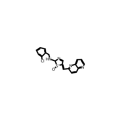 [O-][S+]1C(=Cc2ccc3ncccc3n2)C=NC1NCc1ccccc1Cl